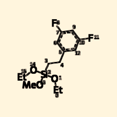 CCO[Si](CCc1cc(F)cc(F)c1)(OC)OCC